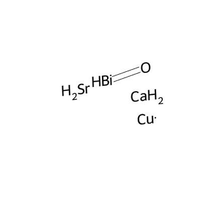 [CaH2].[Cu].[O]=[BiH].[SrH2]